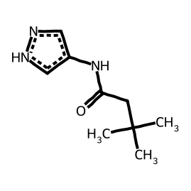 CC(C)(C)CC(=O)Nc1cn[nH]c1